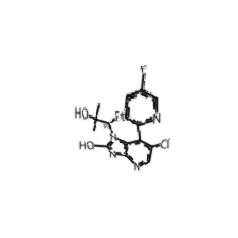 CC[C@@H](n1c(O)nc2ncc(Cl)c(-c3ccc(F)cn3)c21)C(C)(C)O